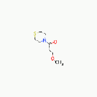 COCCC(=O)N1CCSCC1